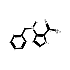 CN(Cc1ccccc1)c1ccsc1C(N)=O